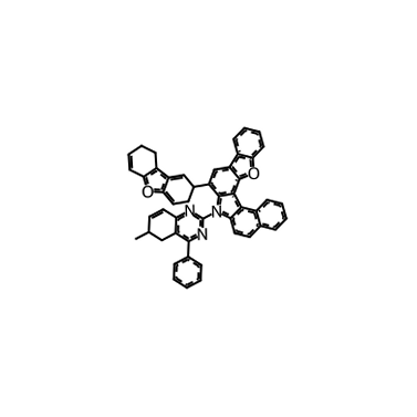 CC1C=Cc2nc(-n3c4ccc5ccccc5c4c4c5oc6ccccc6c5cc(C5C=c6c7c(oc6=CC5)C=CCC7)c43)nc(-c3ccccc3)c2C1